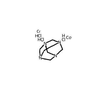 C1N2CN3CN1CN(C2)C3.Cl.Cl.Cl.[Co].[Cr]